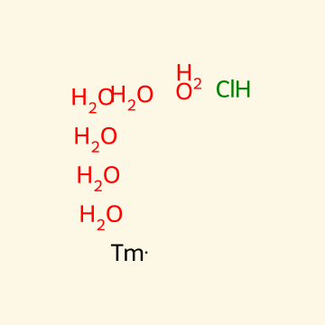 Cl.O.O.O.O.O.O.[Tm]